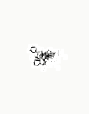 C[C@H](C(=S)c1ccccc1)[C@@H]1[C@@H]([C@@](C)(O[SiH](C)C)C(C)(C)C)C(=O)N1CC(=O)Sc1ccccc1